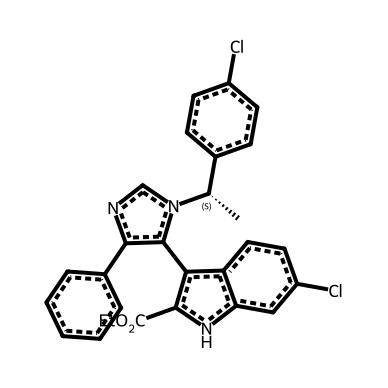 CCOC(=O)c1[nH]c2cc(Cl)ccc2c1-c1c(-c2ccccc2)ncn1[C@@H](C)c1ccc(Cl)cc1